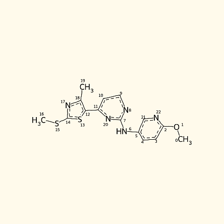 COc1ccc(Nc2nccc(-c3sc(SC)nc3C)n2)cn1